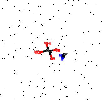 C#N.N.O[Si](O)(O)O